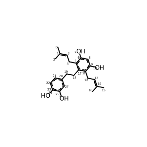 CC(C)=CCc1c(O)cc(O)c(CC=C(C)C)c1CCc1ccc(O)c(O)c1